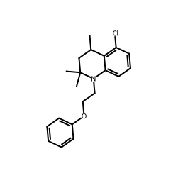 CC1CC(C)(C)N(CCOc2ccccc2)c2cccc(Cl)c21